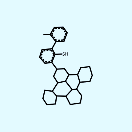 Cc1ccccc1-c1cccc(C2CC3C4CCCCC4C4CCCC5C6CCCCC6C(C2)C3C45)c1S